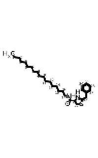 CCCCCCCCCCCCCCCCCCNC(=O)[C@@H]1CSC(Cc2ccccc2)N1